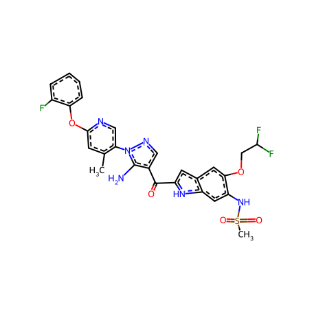 Cc1cc(Oc2ccccc2F)ncc1-n1ncc(C(=O)c2cc3cc(OCC(F)F)c(NS(C)(=O)=O)cc3[nH]2)c1N